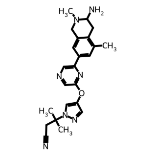 Cc1cc(-c2cncc(Oc3cnn(C(C)(C)CC#N)c3)n2)cc2c1CC(N)N(C)C2